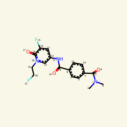 CN(C)C(=O)c1ccc(C(=O)Nc2cc(F)c(=O)n(CCF)c2)cc1